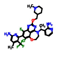 Cc1cc(N)nc(-c2c(Cl)c3c4c(nc(OCC5CCCN(C)C5)nc4c2F)N([C@H](C)c2cccnc2N)CCO3)c1C(F)(F)F